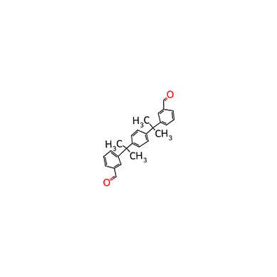 CC(C)(c1ccc(C(C)(C)c2cccc(C=O)c2)cc1)c1cccc(C=O)c1